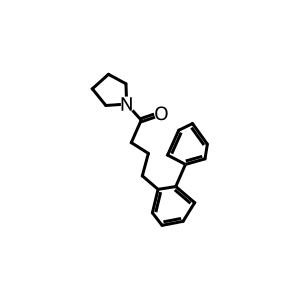 O=C(CCCc1ccccc1-c1ccccc1)N1CCCC1